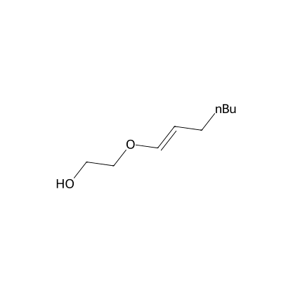 CCCCCC=COCCO